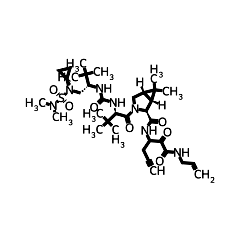 C#CCC(NC(=O)[C@@H]1[C@@H]2[C@H](CN1C(=O)[C@@H](NC(=O)N[C@H](CN(C1CC1)S(=O)(=O)N(C)C)C(C)(C)C)C(C)(C)C)C2(C)C)C(=O)C(=O)NCC=C